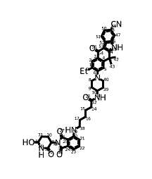 CCc1cc2c(cc1N1CCC(NC(=O)CCCCCNc3cccc4c3C(=O)N(C3CCC(O)NC3=O)C4=O)CC1)C(C)(C)c1[nH]c3cc(C#N)ccc3c1C2=O